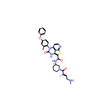 CNC/C=C(\F)C(=O)N1CCC[C@@H](NC(=O)c2sc3nccc4c3c2NC(=O)N4c2ccc(Oc3ccccc3)cc2C)C1